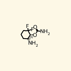 NC(=O)O[C@H]1[C@H](N)CCCC1(F)F